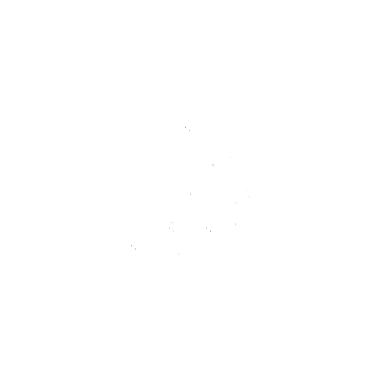 Cc1ncccc1-c1cc(N2CCN(C)CC2)ncc1C(=O)O